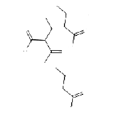 CCC(C(C)=O)C(=O)[O-].CCCC(=O)[O-].CCCC(=O)[O-].[Al+3]